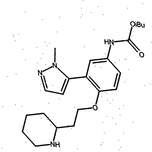 CC(C)COC(=O)Nc1ccc(OCCC2CCCCN2)c(-c2ccnn2C)c1